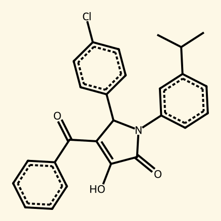 CC(C)c1cccc(N2C(=O)C(O)=C(C(=O)c3ccccc3)C2c2ccc(Cl)cc2)c1